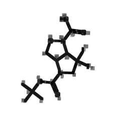 CC(C)(C)OC(=O)N1CC(F)(F)C2C1CON2C(=O)O